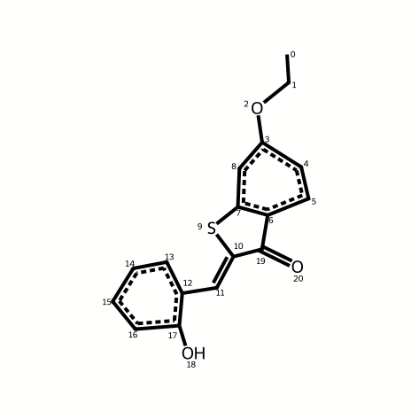 CCOc1ccc2c(c1)SC(=Cc1ccccc1O)C2=O